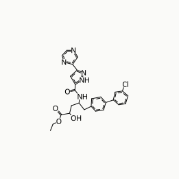 CCOC(=O)C(O)CC(Cc1ccc(-c2cccc(Cl)c2)cc1)NC(=O)c1cc(-c2cnccn2)n[nH]1